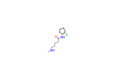 CNCCCCC(=O)Nc1ccccc1F